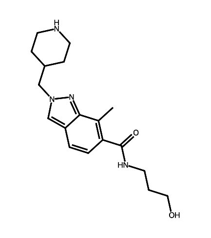 Cc1c(C(=O)NCCCO)ccc2cn(CC3CCNCC3)nc12